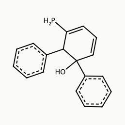 OC1(c2ccccc2)C=CC=C(P)C1c1ccccc1